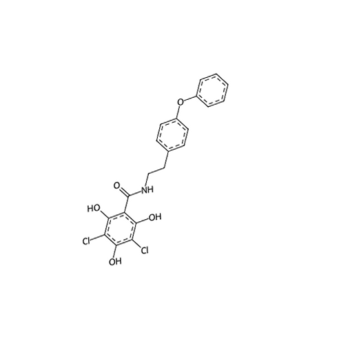 O=C(NCCc1ccc(Oc2ccccc2)cc1)c1c(O)c(Cl)c(O)c(Cl)c1O